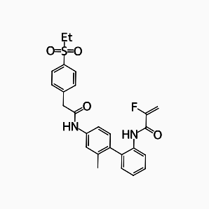 C=C(F)C(=O)Nc1ccccc1-c1ccc(NC(=O)Cc2ccc(S(=O)(=O)CC)cc2)cc1C